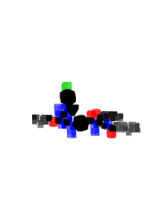 CCOC(=O)C(=O)NC[C@H](NC(=O)c1ccc(Nc2nc(NC3(c4ccc(Cl)cc4)CC3)nc(OCC(F)(F)F)n2)cc1)C(=O)OC